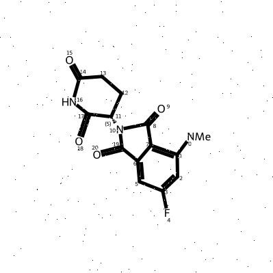 CNc1cc(F)cc2c1C(=O)N([C@H]1CCC(=O)NC1=O)C2=O